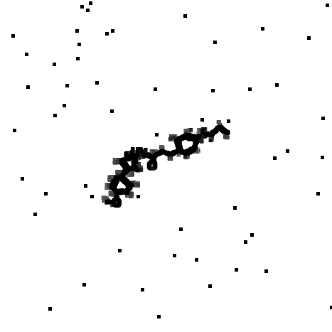 CCCSc1ccc(CCC(=O)Nc2nc(-c3ccc(OC)cc3)cs2)cc1